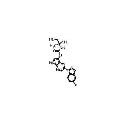 CC(C)(CO)NC(=O)Oc1c[nH]c2ncc(-n3ncc4cc(F)ccc43)nc12